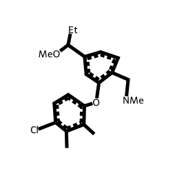 CCC(OC)c1ccc(CNC)c(Oc2ccc(Cl)c(C)c2C)c1